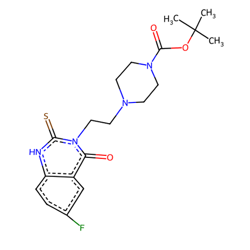 CC(C)(C)OC(=O)N1CCN(CCn2c(=S)[nH]c3ccc(F)cc3c2=O)CC1